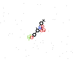 COC(=O)C(=O)N(Cc1ccc(C(C)(C)C)cc1)c1c(C)cc(-c2ccc(OC(F)(F)F)cc2)cc1C